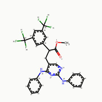 COC(=O)C(Cc1cnc(Nc2ccccc2)nc1Nc1ccccc1)c1cc(C(F)(F)F)cc(C(F)(F)F)c1